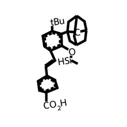 C[SiH](C)Oc1c(/C=C/c2ccc(C(=O)O)cc2)ccc(C(C)(C)C)c1C12CC3CC(CC(C3)C1)C2